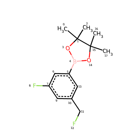 CC1(C)OB(c2cc(F)cc(CF)c2)OC1(C)C